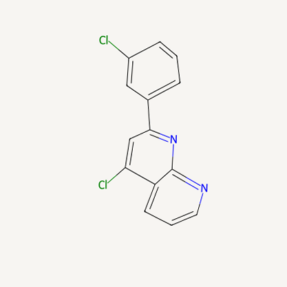 Clc1cccc(-c2cc(Cl)c3cccnc3n2)c1